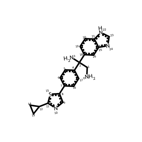 NCC(N)(c1ccc(-c2cnc(C3CC3)s2)cc1)c1ccc2[nH]cnc2c1